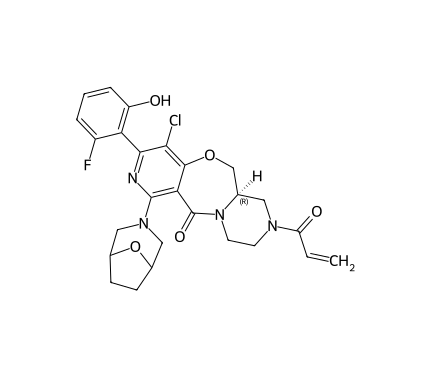 C=CC(=O)N1CCN2C(=O)c3c(N4CC5CCC(C4)O5)nc(-c4c(O)cccc4F)c(Cl)c3OC[C@H]2C1